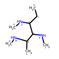 CC[C](NC)C(NC)C(C)NC